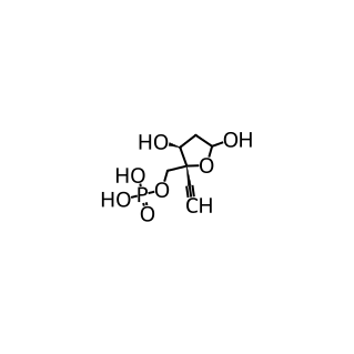 C#C[C@]1(COP(=O)(O)O)OC(O)C[C@@H]1O